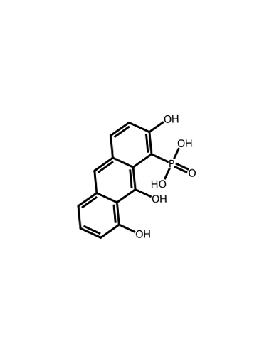 O=P(O)(O)c1c(O)ccc2cc3cccc(O)c3c(O)c12